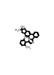 Cc1cccc(C)c1-c1cnc2c3ccccc3c3cc4c(cc3n12)CC(C)(C)C4